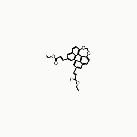 CCOC(=O)/C=C/c1ccc2c3c(ccc2c1)OCOc1ccc2cc(/C=C/C(=O)OCC)ccc2c1-3